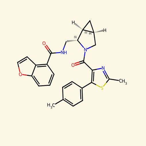 Cc1ccc(-c2sc(C)nc2C(=O)N2C[C@@H]3C[C@@H]3[C@H]2CNC(=O)c2cccc3occc23)cc1